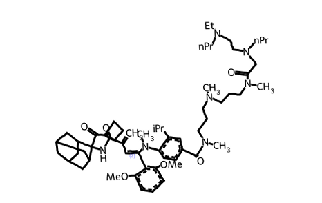 C=C(/C=C(/c1c(OC)cccc1OC)N(C)c1ccc(C(=O)N(C)CCCN(C)CCCN(C)C(=O)CN(CCC)CCN(CC)CCC)cc1C(C)C)C(=O)NC1(C(=O)C2CCC2)C2CC3CC(C2)CC1C3